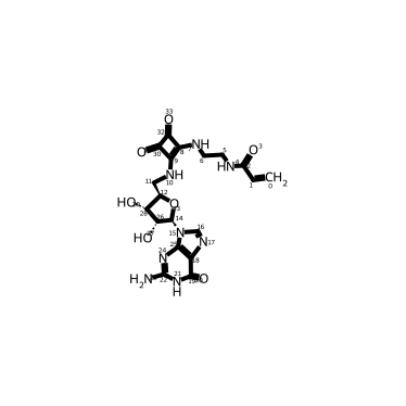 C=CC(=O)NCCNc1c(NC[C@H]2O[C@H](n3cnc4c(=O)[nH]c(N)nc43)[C@H](O)[C@@H]2O)c(=O)c1=O